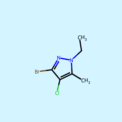 CCn1nc(Br)c(Cl)c1C